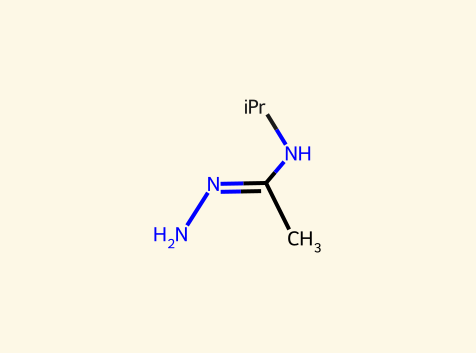 CC(=NN)NC(C)C